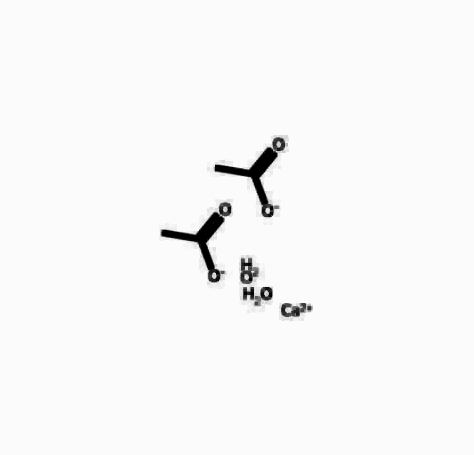 CC(=O)[O-].CC(=O)[O-].O.O.[Ca+2]